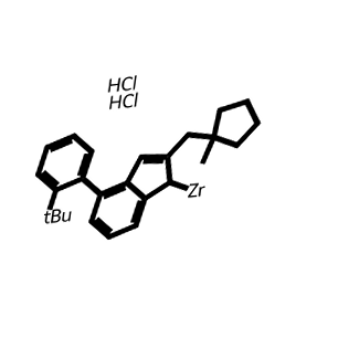 CC1(CC2=Cc3c(-c4ccccc4C(C)(C)C)cccc3[CH]2[Zr])CCCC1.Cl.Cl